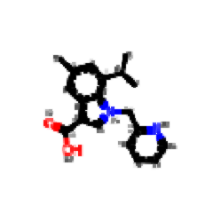 Cc1cc(C(C)C)c2c(c1)c(C(=O)O)cn2Cc1ccccn1